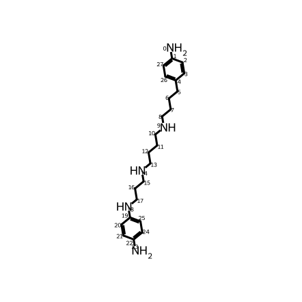 Nc1ccc(CCCCNCCCCNCCCNc2ccc(N)cc2)cc1